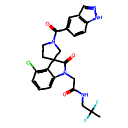 CC(F)(F)CNC(=O)CN1C(=O)C2(CCN(C(=O)c3ccc4[nH]ncc4c3)C2)c2c(Cl)cccc21